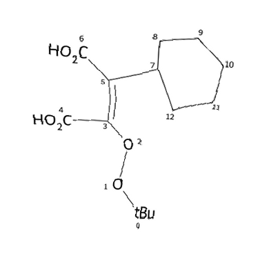 CC(C)(C)OOC(C(=O)O)=C(C(=O)O)C1CCCCC1